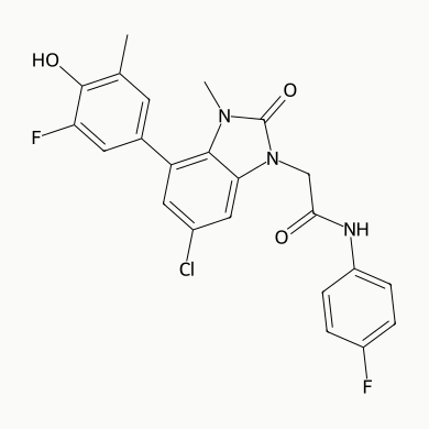 Cc1cc(-c2cc(Cl)cc3c2n(C)c(=O)n3CC(=O)Nc2ccc(F)cc2)cc(F)c1O